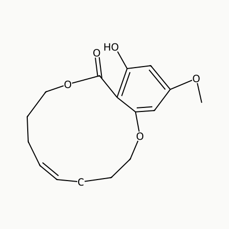 COc1cc(O)c2c(c1)OCCCC=CCCCOC2=O